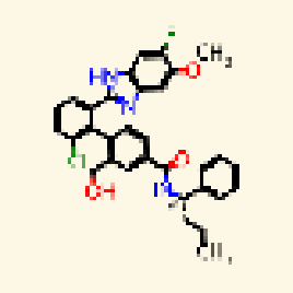 CCC[C@H](NC(=O)c1ccc(-c2c(Cl)cccc2-c2nc3cc(OC)c(F)cc3[nH]2)c(CO)c1)c1ccccc1